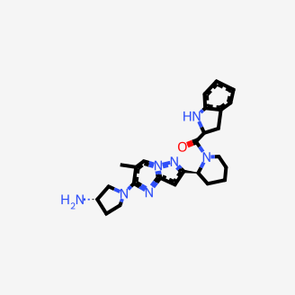 Cc1cn2nc([C@@H]3CCCCN3C(=O)C3Cc4ccccc4N3)cc2nc1N1CC[C@H](N)C1